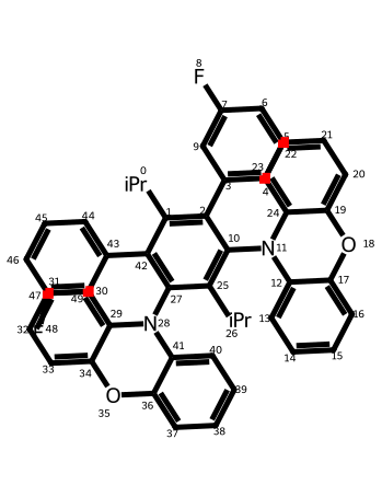 CC(C)c1c(-c2cccc(F)c2)c(N2c3ccccc3Oc3ccccc32)c(C(C)C)c(N2c3ccccc3Oc3ccccc32)c1-c1cccc(F)c1